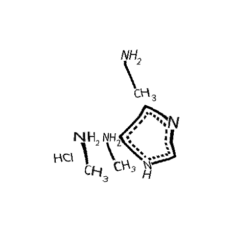 CN.CN.CN.Cl.c1c[nH]cn1